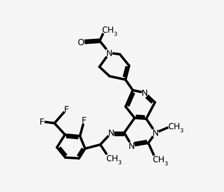 CC(=O)N1CC=C(c2cc3c(=NC(C)c4cccc(C(F)F)c4F)nc(C)n(C)c3cn2)CC1